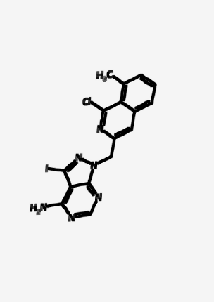 Cc1cccc2cc(Cn3nc(I)c4c(N)ncnc43)nc(Cl)c12